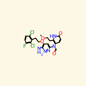 COCCc1[nH]c(=O)ccc1N(C=O)c1cc(OCCc2c(Cl)ccc(F)c2Cl)c(N)nn1